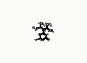 CC(C)N(c1nc(F)nc(F)n1)C(C)C